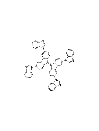 c1ccc2c(c1)ncn2-c1ccc2c(c1)c1cc(-n3cnc4ccccc43)ccc1n2-n1c2ccc(-n3cnc4ccccc43)cc2c2cc(-n3cnc4ccccc43)ccc21